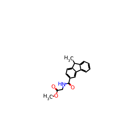 COC(=O)CNC(=O)c1ccc2c(c1)-c1ccccc1C2C